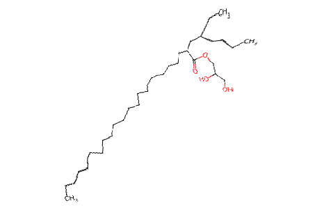 CCCCCCCCCCCCCCCCCCCCC(CC(CC)CCCC)C(=O)OCC(O)CO